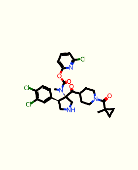 CN(C(=O)Oc1cccc(Cl)n1)[C@]1(C(=O)C2CCN(C(=O)C3(C)CC3)CC2)CNC[C@H]1c1ccc(Cl)c(Cl)c1